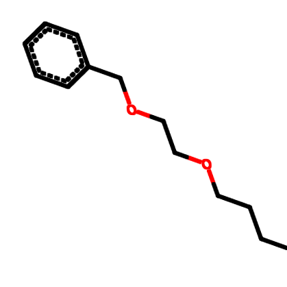 ICCCCOCCOCc1ccccc1